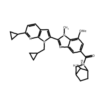 COc1cc(C(=O)N2CC3CCC2[C@@H]3N)cc2nc(-c3cc4ccc(C5CC5)nc4n3CC3CC3)n(C)c12